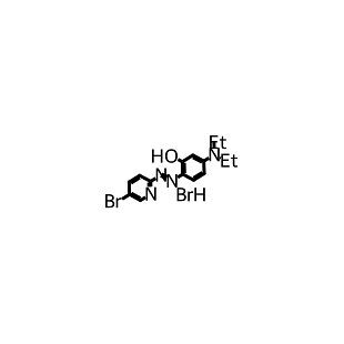 Br.CCN(CC)c1ccc(N=Nc2ccc(Br)cn2)c(O)c1